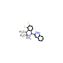 CC1c2c(ccc(F)c2F)C(c2cc3ccccc3nn2)=NC1(C)C